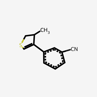 CC1CSC=C1c1cccc(C#N)c1